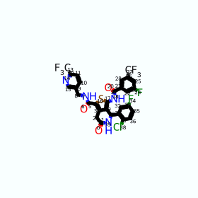 O=C1Cc2c(C(=O)NCc3ccc(C(F)(F)F)nc3)sc(NC(=O)c3cc(F)cc(C(F)(F)F)c3)c2C(c2cc(F)ccc2Cl)N1